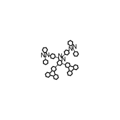 c1ccc(-c2nc3ccccc3n2-c2ccc(-c3nc(-c4ccc(-n5c(-c6ccccc6)nc6ccccc65)cc4)c4cc(-c5ccc6c7ccccc7c7ccccc7c6c5)cc(-c5ccc6c7ccccc7c7ccccc7c6c5)c4n3)cc2)cc1